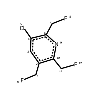 FCc1cc(Cl)c(CF)nc1CF